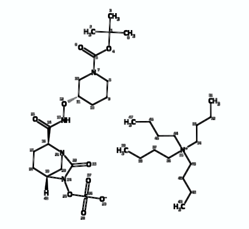 CC(C)(C)OC(=O)N1CCC[C@H](ONC(=O)[C@@H]2CC[C@@H]3CN2C(=O)N3OS(=O)(=O)[O-])C1.CCCC[N+](CCCC)(CCCC)CCCC